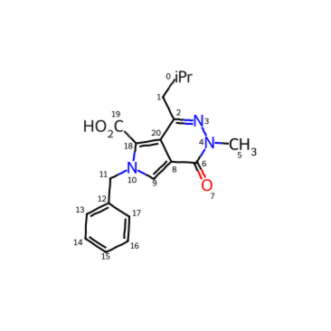 CC(C)Cc1nn(C)c(=O)c2cn(Cc3ccccc3)c(C(=O)O)c12